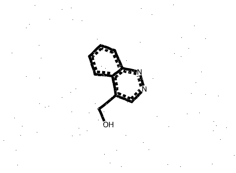 OCc1cnnc2ccccc12